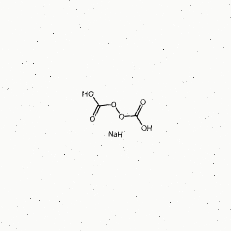 O=C(O)OOC(=O)O.[NaH]